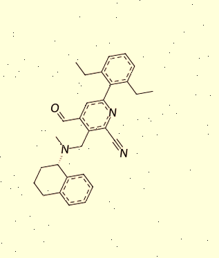 CCc1cccc(CC)c1-c1cc(C=O)c(CN(C)[C@H]2CCCc3ccccc32)c(C#N)n1